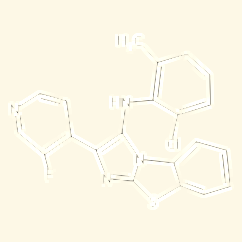 Cc1cccc(Cl)c1Nc1c(-c2ccncc2F)nc2sc3ccccc3n12